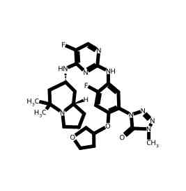 Cn1nnn(-c2cc(Nc3ncc(F)c(N[C@@H]4C[C@@H]5CCCN5C(C)(C)C4)n3)c(F)cc2OC2CCOC2)c1=O